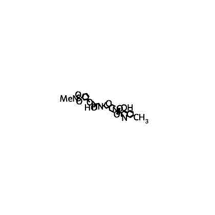 CNS(=O)(=O)c1cccc(OCC(O)CN[C@H]2COC3(CCN(S(=O)(=O)c4cnc5cc(C)ccc5c4O)CC3)C2)c1